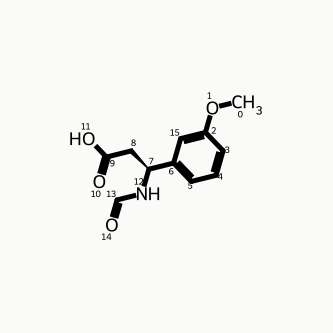 COc1cccc([C@H](CC(=O)O)NC=O)c1